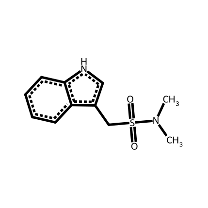 CN(C)S(=O)(=O)Cc1c[nH]c2ccccc12